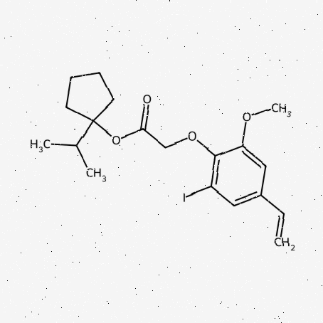 C=Cc1cc(I)c(OCC(=O)OC2(C(C)C)CCCC2)c(OC)c1